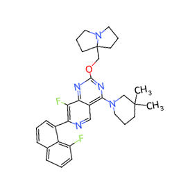 CC1(C)CCCN(c2nc(OCC34CCCN3CCC4)nc3c(F)c(-c4cccc5cccc(F)c45)ncc23)C1